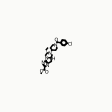 CC[C@H]1CN2c3ncc(C(=O)OC)nc3C[C@@H]2CN1C1CCN(C(=O)c2ccc(Cl)cc2)CC1